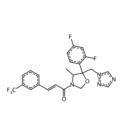 CC1N(C(=O)/C=C/c2cccc(C(F)(F)F)c2)COC1(Cn1cncn1)c1ccc(F)cc1F